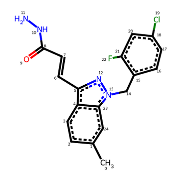 Cc1ccc2c(C=CC(=O)NN)nn(Cc3ccc(Cl)cc3F)c2c1